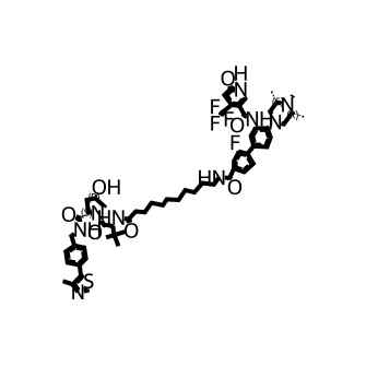 Cc1ncsc1-c1ccc(CNC(=O)[C@@H]2C[C@@H](O)CN2C(=O)C(NC(=O)CCCCCCCCCCNC(=O)c2ccc(-c3ccc(N4C[C@@H](C)N(C)[C@@H](C)C4)c(NC(=O)c4c[nH]c(=O)cc4C(F)(F)F)c3)c(F)c2)C(C)(C)C)cc1